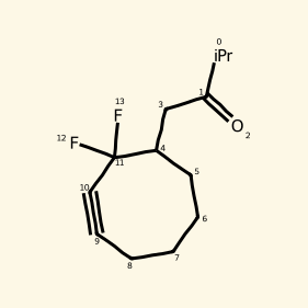 CC(C)C(=O)CC1CCCCC#CC1(F)F